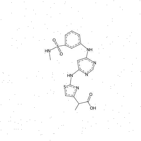 CNS(=O)(=O)c1cccc(Nc2cc(Nc3nc(C(C)C(=O)O)cs3)ncn2)c1